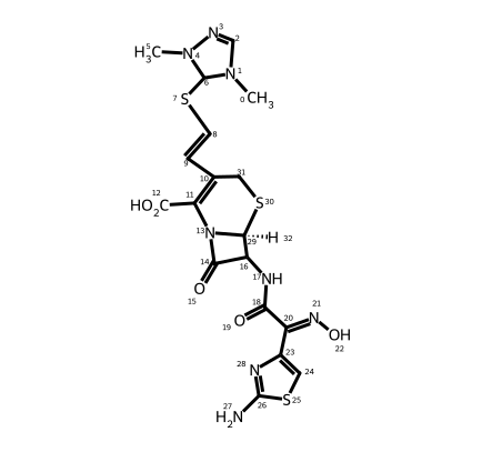 CN1C=NN(C)C1SC=CC1=C(C(=O)O)N2C(=O)C(NC(=O)C(=NO)c3csc(N)n3)[C@@H]2SC1